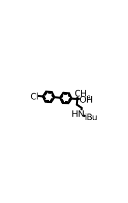 CCC(C)NCCC(C)(O)c1ccc(-c2ccc(Cl)cc2)cc1